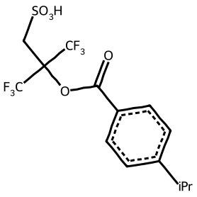 CC(C)c1ccc(C(=O)OC(CS(=O)(=O)O)(C(F)(F)F)C(F)(F)F)cc1